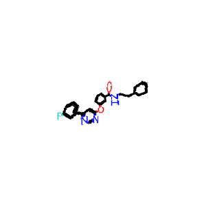 O=C(NCCC1=CCCCC1)c1cccc(Oc2cc(-c3cccc(F)c3)ncn2)c1